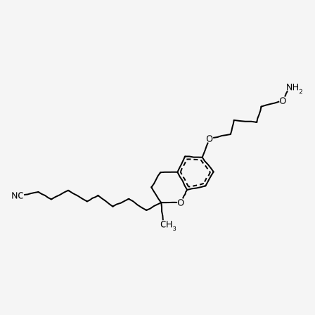 CC1(CCCCCCCCC#N)CCc2cc(OCCCCON)ccc2O1